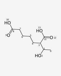 CC(O)C(CCCCC(=O)O)C(=O)O